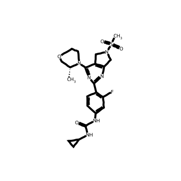 C[C@@H]1COCCN1c1nc(-c2ccc(NC(=O)NC3CC3)cc2F)nc2c1CN(S(C)(=O)=O)C2